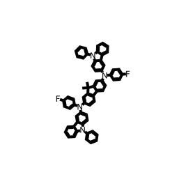 CC1(C)c2cc(N(c3ccc(F)cc3)c3ccc4c(c3)c3ccccc3n4-c3ccccc3)ccc2-c2ccc(N(c3ccc(F)cc3)c3ccc4c(c3)c3ccccc3n4-c3ccccc3)cc21